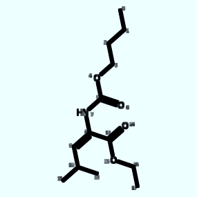 CCCCOC(=O)NC(=CC(C)C)C(=O)OCC